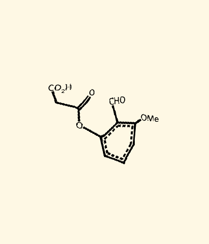 COc1cccc(OC(=O)CC(=O)O)c1C=O